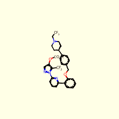 O=C(O)Oc1cnn(-c2cccc(-c3ccccc3OCc3ccc(C4CCN(CC(F)(F)F)CC4)cc3)n2)c1C(F)(F)F